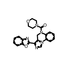 O=C(N1CCOCC1)N1Cc2c(-c3nc4ccccc4o3)ncn2-c2ccccc21